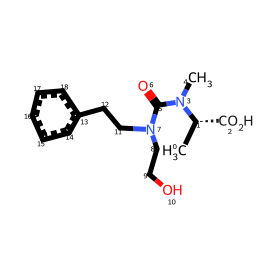 C[C@@H](C(=O)O)N(C)C(=O)N(CCO)CCc1ccccc1